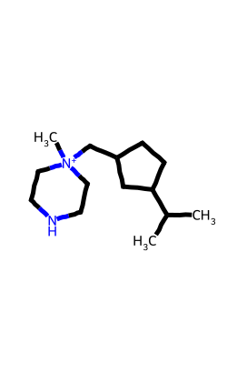 CC(C)C1CCC(C[N+]2(C)CCNCC2)C1